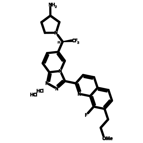 COCCc1ccc2ccc(-c3nnc4ccc([C@@H](N5CCC(N)C5)C(F)(F)F)cn34)nc2c1F.Cl.Cl